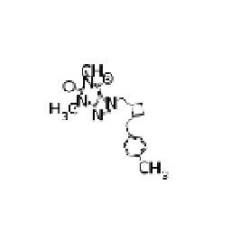 Cc1ccc(CC2CCC2Cn2cnc3c2c(=O)n(C)c(=O)n3C)cc1